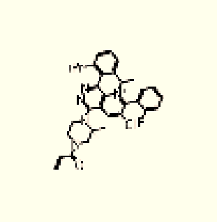 C=CC(=O)N1CCN(c2nnc3c4c2cc(Cl)c(-c2ccccc2F)[n+]4C(C)c2cccc(C(C)C)c2-3)[C@@H](C)C1